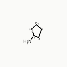 N[C@@H]1CCSS1